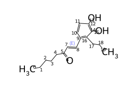 CCCCCC(=O)/C=C/c1ccc(O)c(O)c1CCC